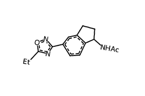 CCc1nc(-c2ccc3c(c2)CCC3NC(C)=O)no1